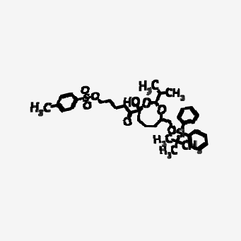 Cc1ccc(S(=O)(=O)OCCCCC(=O)C2(O)CCCC(CO[Si](c3ccccc3)(c3ccccc3)C(C)(C)C)OC(C(C)C)O2)cc1